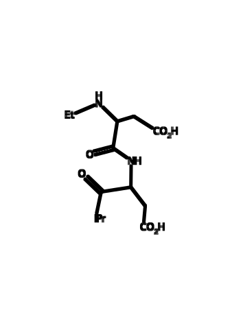 CCNC(CC(=O)O)C(=O)NC(CC(=O)O)C(=O)C(C)C